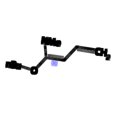 C=C/C=C(\NC)OCCCC